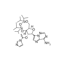 CC(C)[Si]1(C(C)C)OC[C@H]2O[C@@H](c3cnc4c(N)ncnn34)[C@H](OC(=S)n3ccnc3)[C@@H]2O[Si](C(C)C)(C(C)C)O1